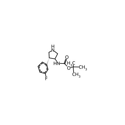 CC(C)(C)OC(=O)NC1CNC[C@H]1c1cccc(F)c1